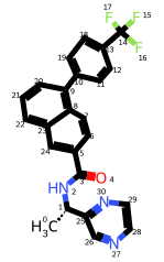 C[C@H](NC(=O)c1ccc2c(-c3ccc(C(F)(F)F)cc3)cccc2c1)c1cnccn1